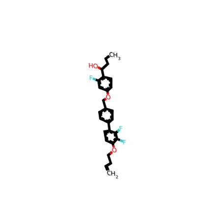 C=CCCOc1ccc(-c2ccc(COc3ccc(C(O)CCC)c(F)c3)cc2)c(F)c1F